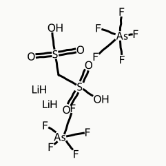 F[As](F)(F)(F)F.F[As](F)(F)(F)F.O=S(=O)(O)CS(=O)(=O)O.[LiH].[LiH]